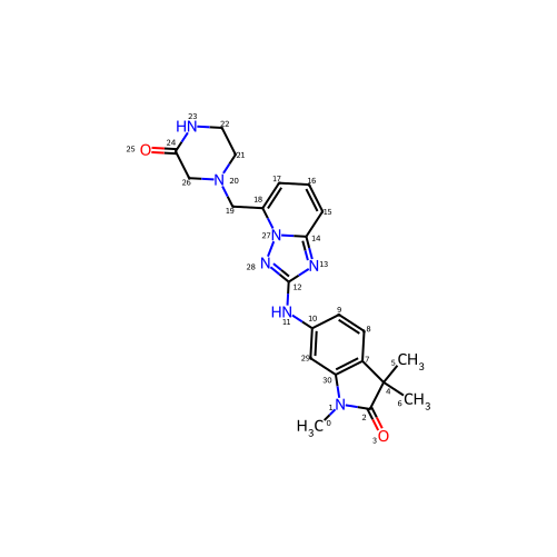 CN1C(=O)C(C)(C)c2ccc(Nc3nc4cccc(CN5CCNC(=O)C5)n4n3)cc21